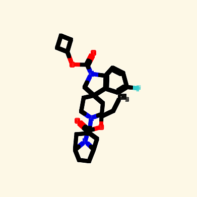 CCCOC(=O)N1C2CCC1CC(N1CCC3(CC1)CN(C(=O)OC1CCC1)c1ccc(F)cc13)C2